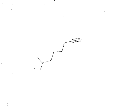 [C]#CCCCCC(C)C